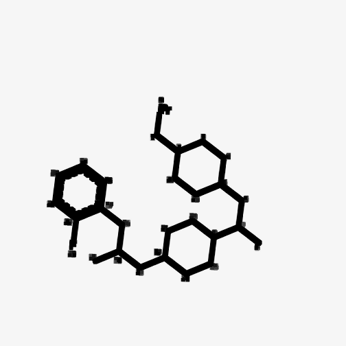 CC(C)CC1CCC(CC(C)C2CCC(CC(C)Cc3ccccc3F)CC2)CC1